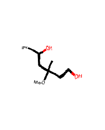 COC(C)(CCO)CC(O)C(C)C